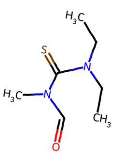 CCN(CC)C(=S)N(C)C=O